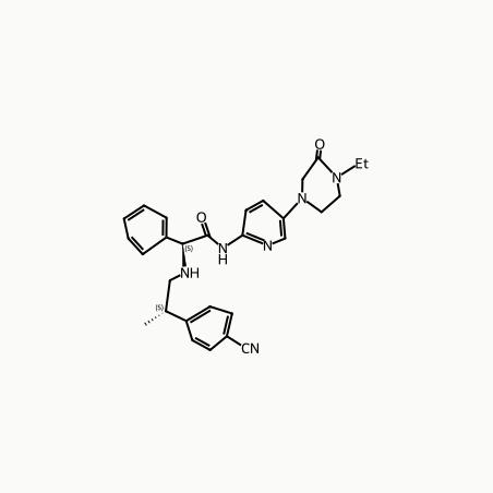 CCN1CCN(c2ccc(NC(=O)[C@@H](NC[C@@H](C)c3ccc(C#N)cc3)c3ccccc3)nc2)CC1=O